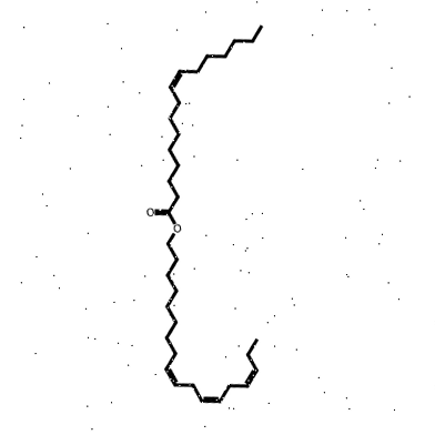 CC/C=C\C/C=C\C/C=C\CCCCCCCCOC(=O)CCCCCCC/C=C\CCCCCC